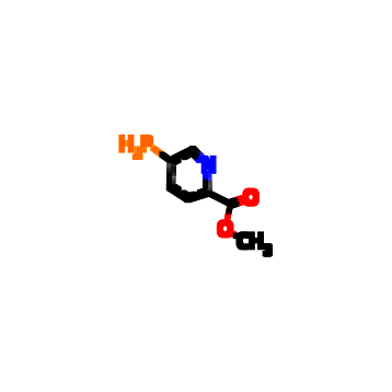 COC(=O)c1ccc(P)cn1